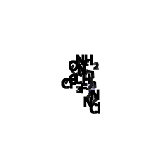 CC1(c2cc(/C=C(\F)c3cnc(Cl)cn3)ccc2F)N=C(N)OCC1OCC(F)(F)F